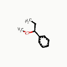 [CH2]CC(OC)c1ccccc1